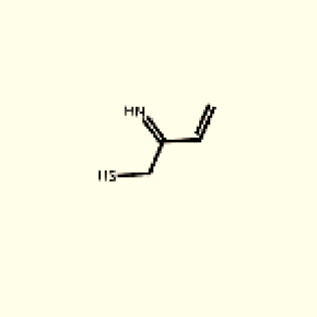 C=CC(=N)CS